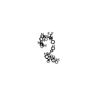 O=C1CCC(N2C(=O)c3cccc(NCC4CC5(CCN(C[C@H]6CC[C@H](n7cc(NC(=O)c8cncc9ccc(N%10C[C@H]%11C[C@@H]%10CO%11)nc89)c(C(F)F)n7)CC6)CC5)C4)c3C2=O)C(=O)N1